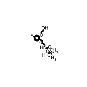 CC(C)(C)OC(=O)NC/C=C/c1ccc(F)cc1OCCO